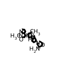 C[C@@H]1CN(c2cc(=O)n(C)c3ncccc23)C[C@@H]2c3ccc(N4CCOC[C@H](N)C4)cc3CN12